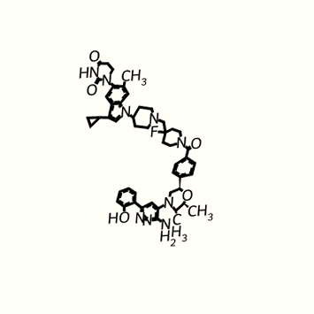 Cc1cc2c(cc1N1CCC(=O)NC1=O)c(C1CC1)cn2C1CCN(CC2(F)CCN(C(=O)c3ccc([C@@H]4CN(c5cc(-c6ccccc6O)nnc5N)[C@H](C)[C@H](C)O4)cc3)CC2)CC1